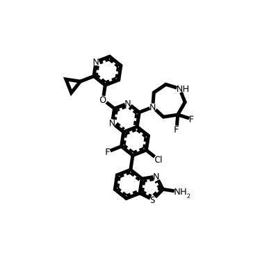 Nc1nc2c(-c3c(Cl)cc4c(N5CCNCC(F)(F)C5)nc(Oc5cccnc5C5CC5)nc4c3F)cccc2s1